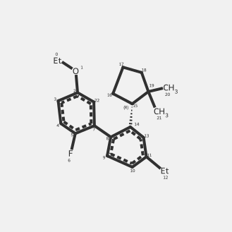 CCOc1ccc(F)c(-c2ccc(CC)cc2[C@@H]2CCCC2(C)C)c1